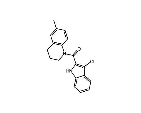 Cc1ccc2c(c1)CCCN2C(=O)c1[nH]c2ccccc2c1Cl